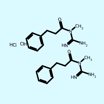 CN(C(=N)N)C(=O)CCc1ccccc1.CN(C(=N)N)C(=O)CCc1ccccc1.Cl.Cl